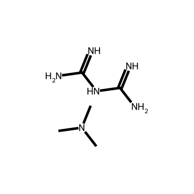 CN(C)C.N=C(N)NC(=N)N